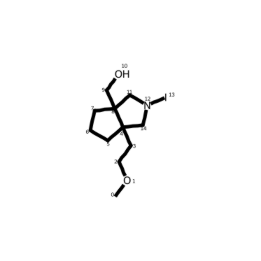 COCCC12CCCC1(CO)CN(I)C2